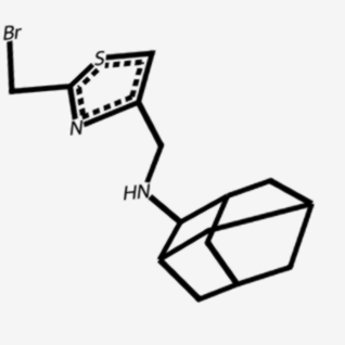 BrCc1nc(CNC2C3CC4CC(C3)CC2C4)cs1